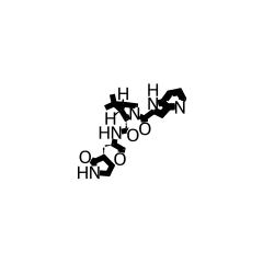 CC1(C)[C@@H]2[C@@H](C(=O)N[C@H](C=O)C[C@@H]3CCNC3=O)N(C(=O)c3cc4ncccc4[nH]3)C[C@@H]21